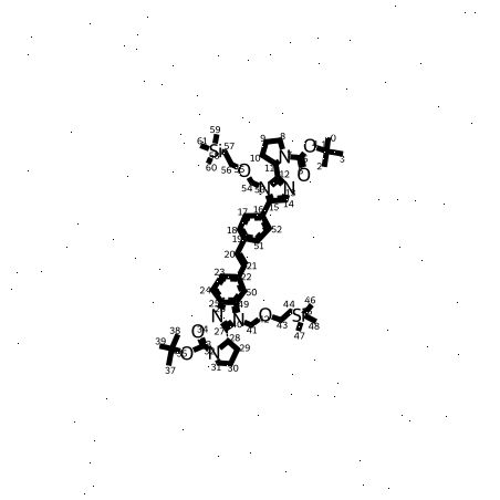 CC(C)(C)OC(=O)N1CCCC1c1ncc(-c2ccc(/C=C/c3ccc4nc([C@@H]5CCCN5C(=O)OC(C)(C)C)n(COCC[Si](C)(C)C)c4c3)cc2)n1COCC[Si](C)(C)C